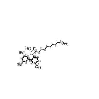 CCCCCCCCCCCCCCCCCCC(Cc1ccc(O)cc1-c1cc(C(C)(C)C)cc(C(C)(C)C)c1)C(=O)O